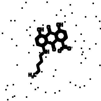 CCCCCNc1ccc(O)c2c1C(=O)c1c([N+](=O)[O-])ccc(O)c1C2=O